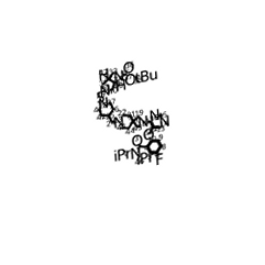 CC(C)N(C(=O)c1cc(F)ccc1Oc1cncnc1N1CC2(CCN(CC3CCN(SN4C[C@@H]5CN(C(=O)OC(C)(C)C)[C@@H]5C4)CC3)CC2)C1)C(C)C